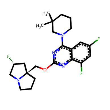 CC1(C)CCCN(c2nc(OC[C@@]34CCCN3C[C@H](F)C4)nc3c(F)cc(F)cc23)C1